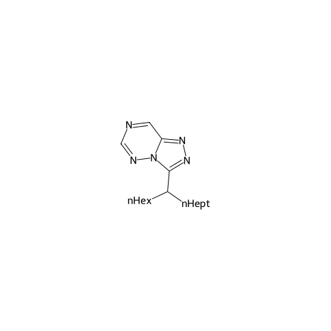 CCCCCCCC(CCCCCC)c1nnc2cncnn12